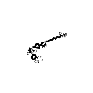 CC1(C)C(=O)N(c2ccc(C#N)c(C(F)(F)F)c2)C(=O)N1Cc1ccc(-c2cn(CCCCCCCCC(=O)NO)nn2)cc1